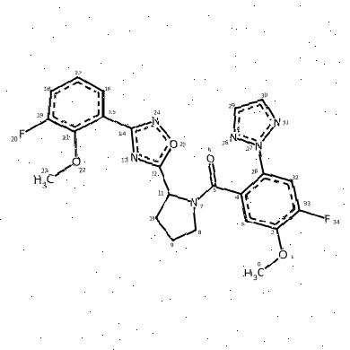 COc1cc(C(=O)N2CCCC2c2nc(-c3cccc(F)c3OC)no2)c(-n2nccn2)cc1F